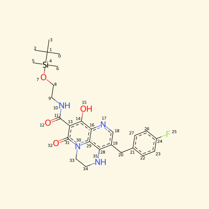 CC(C)(C)[Si](C)(C)OCCNC(=O)c1c(O)c2ncc(Cc3ccc(F)cc3)c3c2n(c1=O)CCN3